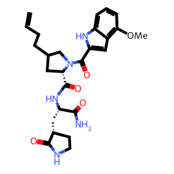 C=CCCC1C[C@@H](C(=O)N[C@@H](C[C@@H]2CCNC2=O)C(N)=O)N(C(=O)c2cc3c(OC)cccc3[nH]2)C1